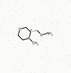 CN1CCOC[C@@H]1CON